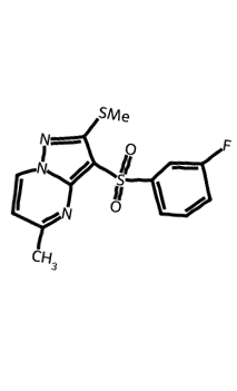 CSc1nn2ccc(C)nc2c1S(=O)(=O)c1cccc(F)c1